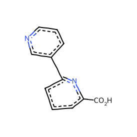 O=C(O)c1cccc(-c2cccnc2)n1